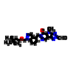 Cn1c2nn(C=O)nc2c2cnn(Cc3cccc4c3cnn4COCC[Si](C)(C)C)c(=O)c21